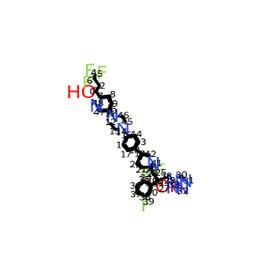 OC(CC(F)(F)F)c1ccc(N2CCN(c3ccc(-c4ccc(C(F)(F)[C@](O)(Cn5cnnn5)c5cccc(F)c5)nc4)cc3)CC2)cn1